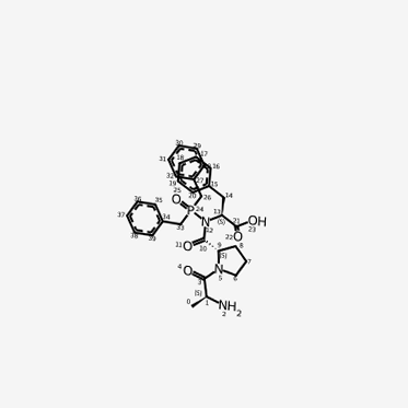 C[C@H](N)C(=O)N1CCC[C@H]1C(=O)N([C@@H](Cc1ccccc1)C(=O)O)P(=O)(Cc1ccccc1)Cc1ccccc1